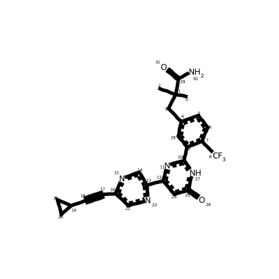 CC(C)(Cc1ccc(C(F)(F)F)c(-c2nc(-c3cnc(C#CC4CC4)cn3)cc(=O)[nH]2)c1)C(N)=O